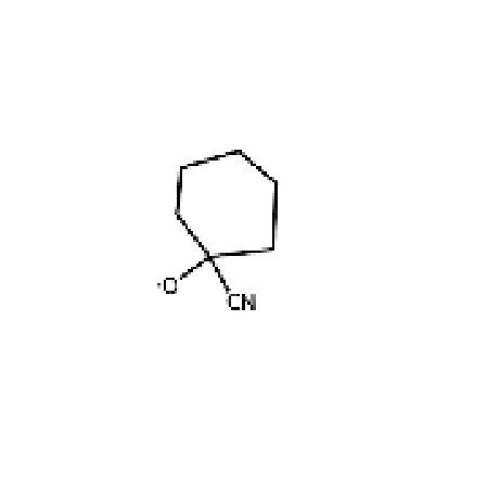 N#CC1([O])CCCCC1